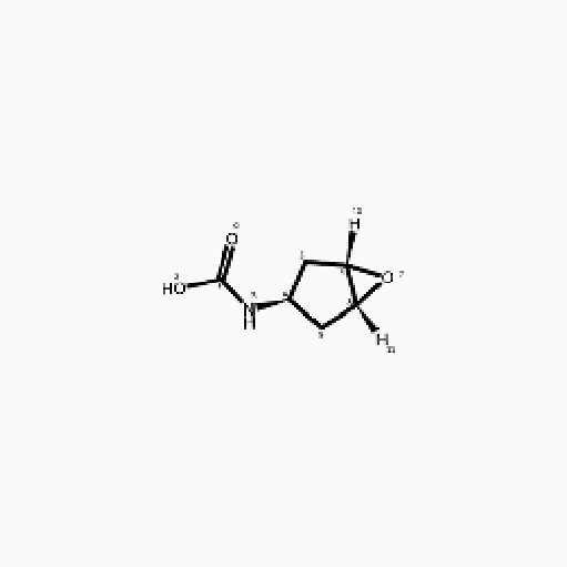 O=C(O)N[C@H]1C[C@@H]2O[C@@H]2C1